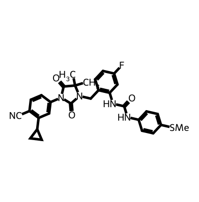 CSc1ccc(NC(=O)Nc2cc(F)ccc2CN2C(=O)N(c3ccc(C#N)c(C4CC4)c3)C(=O)C2(C)C)cc1